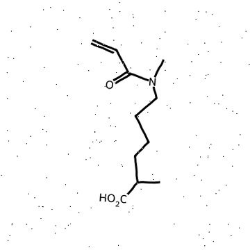 C=CC(=O)N(C)CCCCC(C)C(=O)O